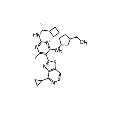 Cc1nc(N[C@H](C)C2CCC2)nc(N[C@H]2CC[C@@H](CO)C2)c1-c1nc2c(C3CC3)nccc2s1